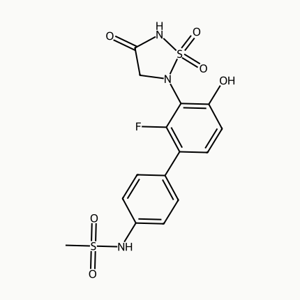 CS(=O)(=O)Nc1ccc(-c2ccc(O)c(N3CC(=O)NS3(=O)=O)c2F)cc1